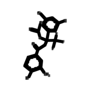 CC(=S)OC(CC(=O)c1ccc(Br)c(C)c1)(c1cc(Cl)cc(Cl)c1)C(F)(F)F